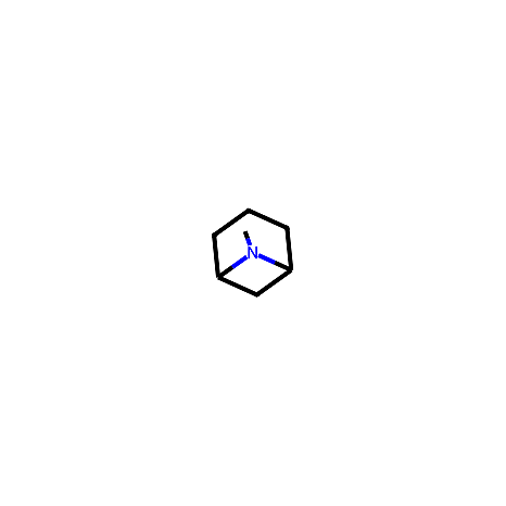 CN1C2CCCC1C2